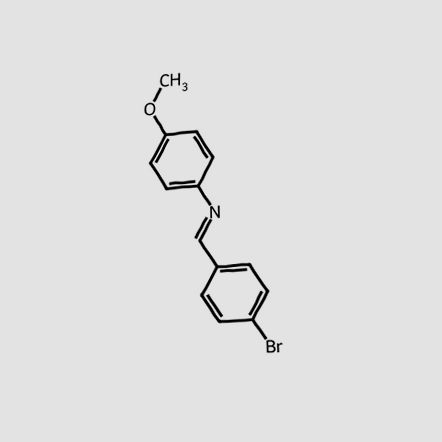 COc1ccc(N=Cc2ccc(Br)cc2)cc1